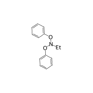 CCN(Oc1ccccc1)Oc1ccccc1